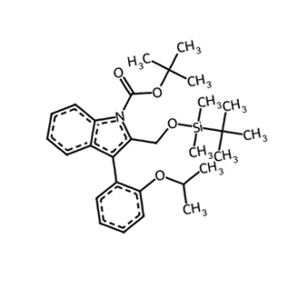 CC(C)Oc1ccccc1-c1c(CO[Si](C)(C)C(C)(C)C)n(C(=O)OC(C)(C)C)c2ccccc12